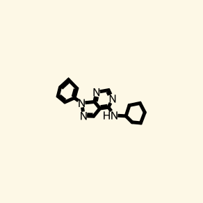 c1ccc(-n2ncc3c(NC4CCCCC4)ncnc32)cc1